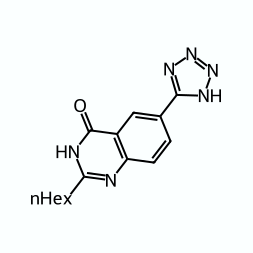 CCCCCCc1nc2ccc(-c3nnn[nH]3)cc2c(=O)[nH]1